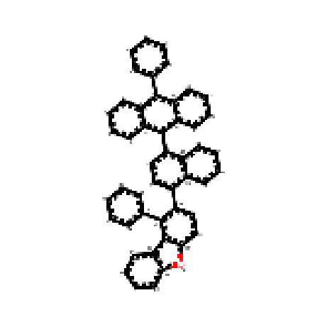 c1ccc(-c2c3ccccc3c(-c3ccc(-c4ccc5oc6ccccc6c5c4-c4ccccc4)c4ccccc34)c3ccccc23)cc1